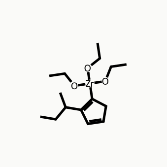 CC[O][Zr]([O]CC)([O]CC)[C]1=C(C(C)CC)C=CC1